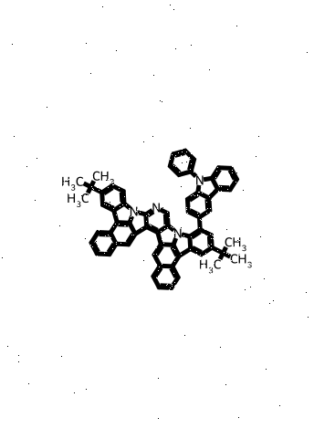 CC(C)(C)c1ccc2c(c1)c1c3ccccc3cc3c4c5c6cc7ccccc7c7c8cc(C(C)(C)C)cc(-c9ccc%10c(c9)c9ccccc9n%10-c9ccccc9)c8n(c5cnc4n2c31)c67